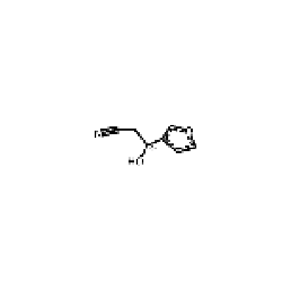 N#CC[C@H](O)c1ccoc1